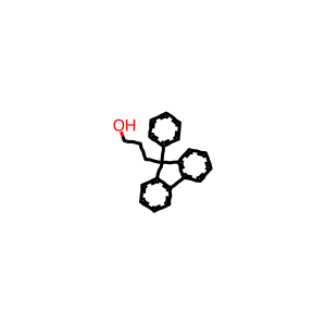 OCCCC1(c2ccccc2)c2ccccc2-c2ccccc21